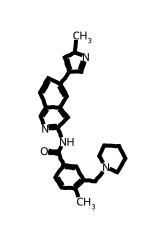 Cc1ccc(C(=O)Nc2cc3cc(C4=CC(C)N=C4)ccc3cn2)cc1CN1CCCCC1